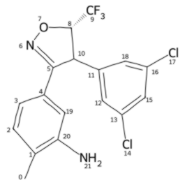 Cc1ccc(C2=NO[C@H](C(F)(F)F)C2c2cc(Cl)cc(Cl)c2)cc1N